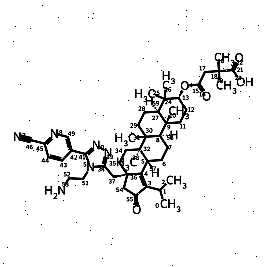 CC(C)C1=C2[C@H]3CC[C@@H]4[C@@]5(C)CC[C@H](OC(=O)CC(C)(C)C(=O)O)C(C)(C)[C@@H]5CC[C@@]4(C)[C@]3(C)CC[C@@]2(Cc2nnc(-c3ccc(C#N)nc3)n2CCN)CC1=O